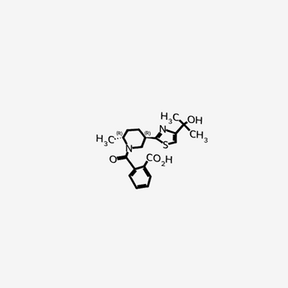 C[C@@H]1CC[C@@H](c2nc(C(C)(C)O)cs2)CN1C(=O)c1ccccc1C(=O)O